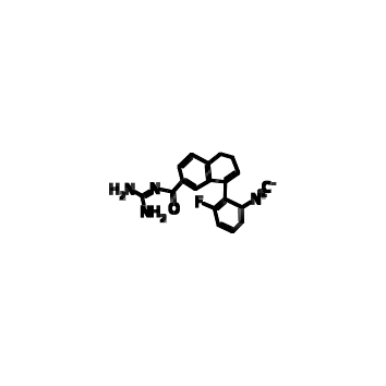 [C-]#[N+]c1cccc(F)c1C1=CCCc2ccc(C(=O)N=C(N)N)cc21